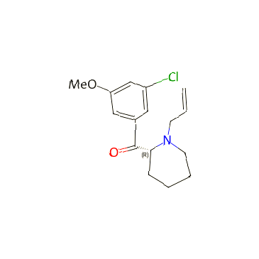 C=CCN1CCCC[C@@H]1C(=O)c1cc(Cl)cc(OC)c1